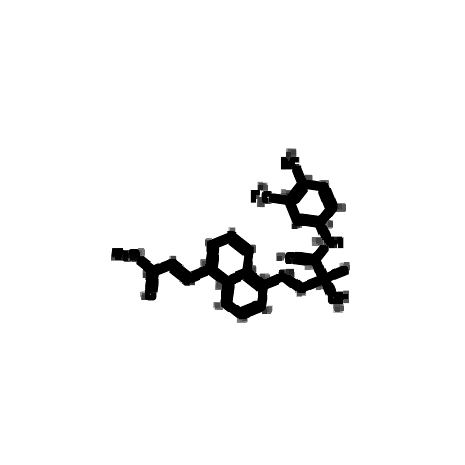 COC(=O)C=Cc1cccc2c(SCC(C)(O)C(=O)Nc3ccc(C#N)c(C(F)(F)F)c3)cccc12